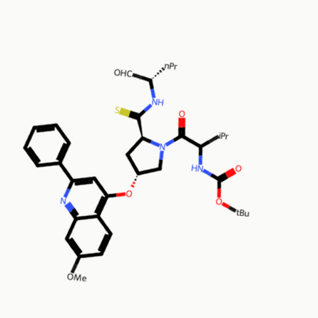 CCC[C@@H](C=O)NC(=S)[C@@H]1C[C@@H](Oc2cc(-c3ccccc3)nc3cc(OC)ccc23)CN1C(=O)C(NC(=O)OC(C)(C)C)C(C)C